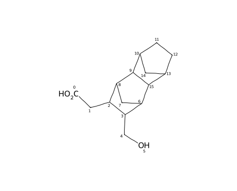 O=C(O)CC1C(CO)C2CC1C1C3CCC(C3)C21